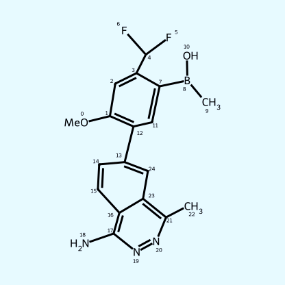 COc1cc(C(F)F)c(B(C)O)cc1-c1ccc2c(N)nnc(C)c2c1